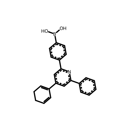 OB(O)c1ccc(-c2cc(C3=CCCC=C3)cc(-c3ccccc3)n2)cc1